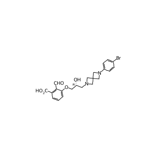 O=Cc1c(OC[C@H](O)CN2CC3(C2)CN(c2ccc(Br)cc2)C3)cccc1C(=O)O